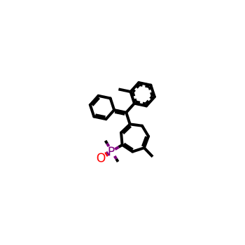 CC1=CCC(/C(=C2\C=CC=CC2)c2ccccc2C)=CC(P(C)(C)=O)=C1